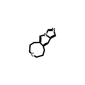 c1ncn2cc3c(cc12)CCCCCCC3